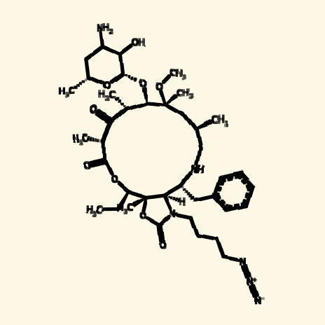 CC[C@H]1OC(=O)[C@H](C)C(=O)[C@H](C)[C@@H](O[C@@H]2O[C@H](C)CC(N)C2O)[C@](C)(OC)C[C@@H](C)CN[C@H](Cc2ccccc2)[C@H]2N(CCCCN=[N+]=[N-])C(=O)O[C@]12C